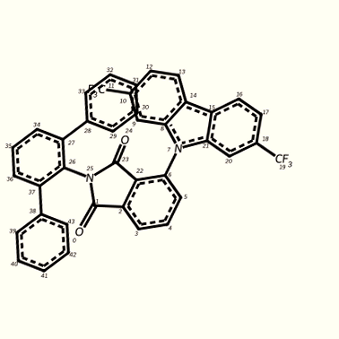 O=C1c2cccc(-n3c4cc(C(F)(F)F)ccc4c4ccc(C(F)(F)F)cc43)c2C(=O)N1c1c(-c2ccccc2)cccc1-c1ccccc1